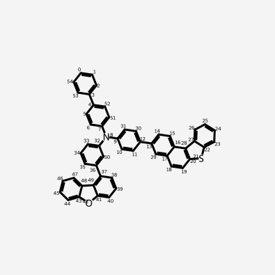 c1ccc(-c2ccc(N(c3ccc(-c4ccc5c(ccc6sc7ccccc7c65)c4)cc3)c3cccc(-c4cccc5oc6ccccc6c45)c3)cc2)cc1